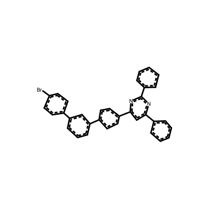 Brc1ccc(-c2cccc(-c3ccc(-c4cc(-c5ccccc5)nc(-c5ccccc5)n4)cc3)c2)cc1